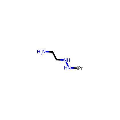 CC(C)NNCCN